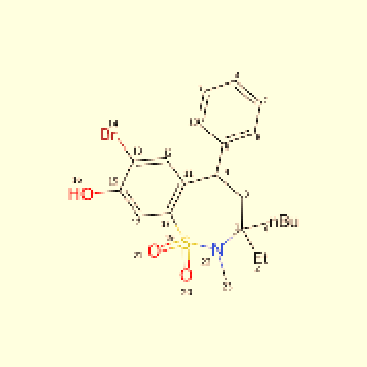 CCCCC1(CC)CC(c2ccccc2)c2cc(Br)c(O)cc2S(=O)(=O)N1C